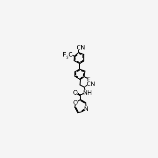 N#Cc1ccc(-c2ccc(C[C@@H](C#N)NC(=O)C3=CN=CC=CO3)c(F)c2)cc1C(F)(F)F